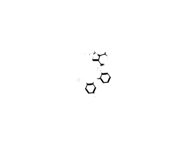 Cc1ccc(C(C)(C)C)c(Oc2ccccc2NC(=O)c2cn(C)nc2C(F)F)c1